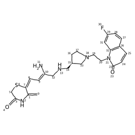 C=C1NC(=O)CS/C1=C/C=C(\N)CNC[C@H]1CCN(CCn2c(=O)ccc3ccc(F)cc32)C1